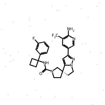 Nc1ncc(-c2cc3n(n2)CC[C@@]32CCN(C(=O)NC3(c4cccc(F)c4)CCC3)C2)cc1C(F)(F)F